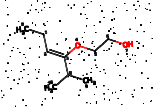 CCC=C(OCCO)[C](C)C